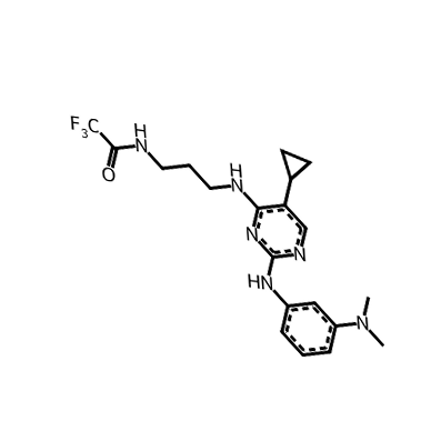 CN(C)c1cccc(Nc2ncc(C3CC3)c(NCCCNC(=O)C(F)(F)F)n2)c1